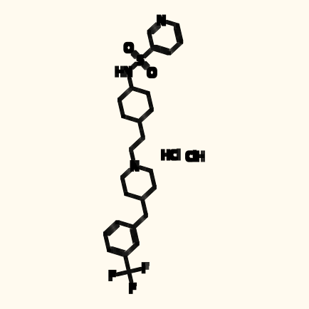 Cl.Cl.O=S(=O)(NC1CCC(CCN2CCC(Cc3cccc(C(F)(F)F)c3)CC2)CC1)c1cccnc1